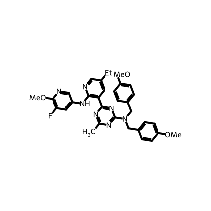 CCc1cnc(Nc2cnc(OC)c(F)c2)c(-c2nc(C)nc(N(Cc3ccc(OC)cc3)Cc3ccc(OC)cc3)n2)c1